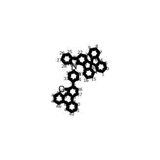 c1ccc2c(c1)-c1ccccc1C21c2ccccc2-c2c1ccc1c3ccccc3n(-c3ccc(-c4ccc5c6ccccc6c6cccc7oc4c5c76)cc3)c21